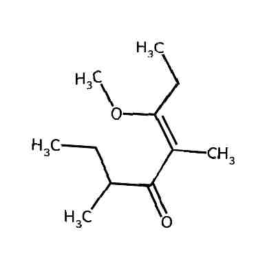 CC/C(OC)=C(\C)C(=O)C(C)CC